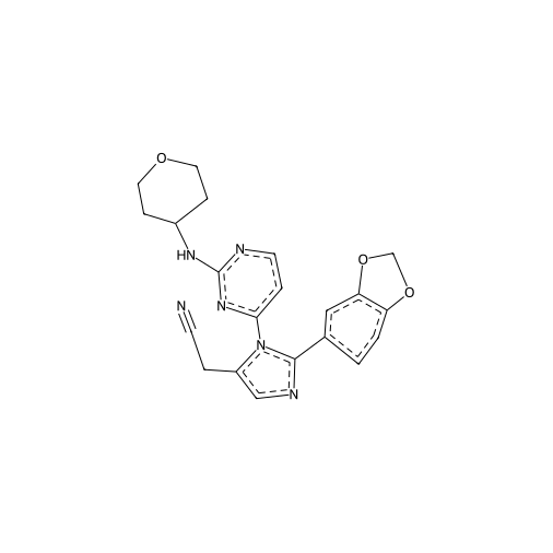 N#CCc1cnc(-c2ccc3c(c2)OCO3)n1-c1ccnc(NC2CCOCC2)n1